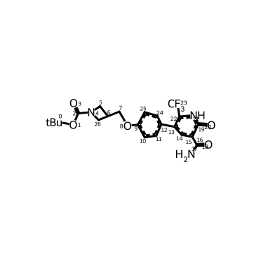 CC(C)(C)OC(=O)N1CC(COc2ccc(-c3cc(C(N)=O)c(=O)[nH]c3C(F)(F)F)cc2)C1